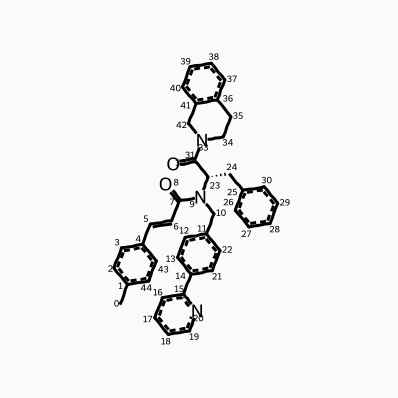 Cc1ccc(/C=C/C(=O)N(Cc2ccc(-c3ccccn3)cc2)[C@@H](Cc2ccccc2)C(=O)N2CCc3ccccc3C2)cc1